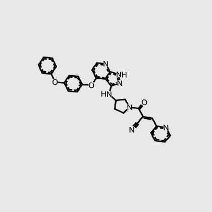 N#CC(=Cc1ccccn1)C(=O)N1CCC(Nc2n[nH]c3nccc(Oc4ccc(Oc5ccccc5)cc4)c23)C1